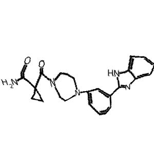 NC(=O)C1(C(=O)N2CCN(c3cccc(-c4nc5ccccc5[nH]4)c3)CC2)CC1